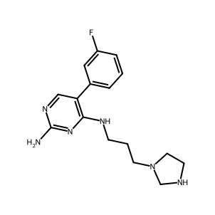 Nc1ncc(-c2cccc(F)c2)c(NCCCN2CCNC2)n1